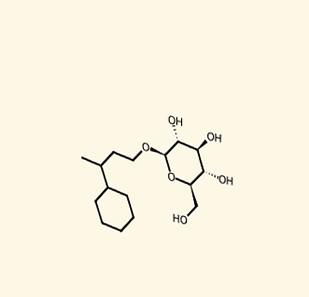 CC(CCO[C@@H]1O[C@H](CO)[C@@H](O)[C@H](O)[C@H]1O)C1CCCCC1